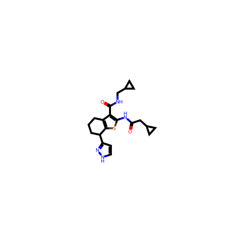 O=C(CC1CC1)Nc1sc2c(c1C(=O)NCC1CC1)CCCC2c1cc[nH]n1